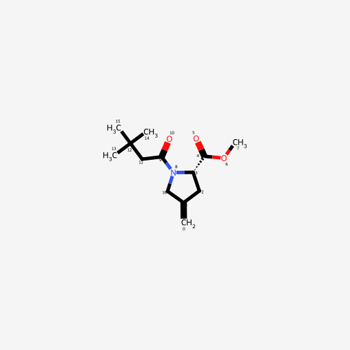 C=C1C[C@@H](C(=O)OC)N(C(=O)CC(C)(C)C)C1